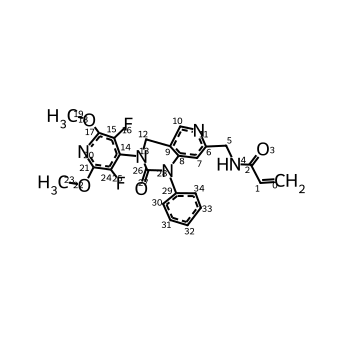 C=CC(=O)NCc1cc2c(cn1)CN(c1c(F)c(OC)nc(OC)c1F)C(=O)N2c1ccccc1